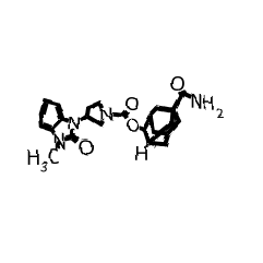 Cn1c(=O)n(C2CCN(C(=O)OC3C4CC5C[C@@H]3CC(C(N)=O)(C5)C4)C2)c2ccccc21